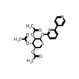 CC(=O)O[C@@H]1[C@@H](OC(C)=O)[C@@H](Oc2cccc(-c3ccncc3)n2)SC[C@H]1OC(C)=O